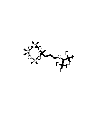 C[Si]1(C)O[Si](C)(C)O[Si](C)(CCCOC(C(F)(F)F)C(F)(F)F)O[Si](C)(C)O1